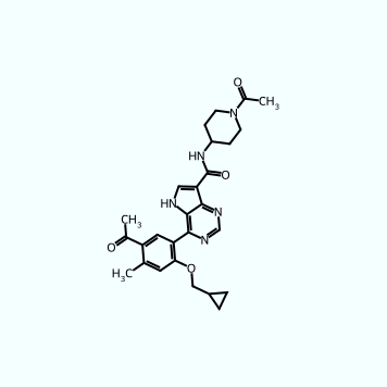 CC(=O)c1cc(-c2ncnc3c(C(=O)NC4CCN(C(C)=O)CC4)c[nH]c23)c(OCC2CC2)cc1C